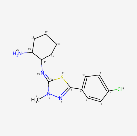 Cn1nc(-c2ccc(Cl)cc2)s/c1=N\C1CCCCC1N